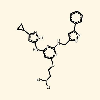 CCN(CC)CCOc1cc(Nc2cc(C3CC3)n[nH]2)nc(NCc2cc(-c3ccccc3)no2)n1